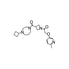 Cc1ccc(OCC(=O)N2CC(C(=O)N3CCCN(C4CCC4)CC3)C2)cn1